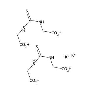 O=C(O)CNC(=S)[SH-]CC(=O)O.O=C(O)CNC(=S)[SH-]CC(=O)O.[K+].[K+]